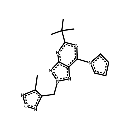 Cc1nonc1Cn1nc2nc(C(C)(C)C)nc(-n3cccc3)c2n1